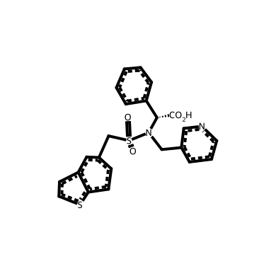 O=C(O)[C@@H](c1ccccc1)N(Cc1cccnc1)S(=O)(=O)Cc1ccc2sccc2c1